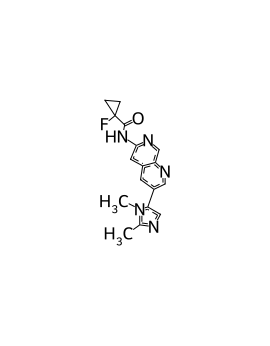 Cc1ncc(-c2cnc3cnc(NC(=O)C4(F)CC4)cc3c2)n1C